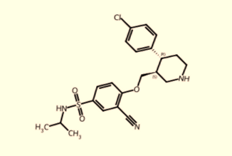 CC(C)NS(=O)(=O)c1ccc(OC[C@@H]2CNCC[C@H]2c2ccc(Cl)cc2)c(C#N)c1